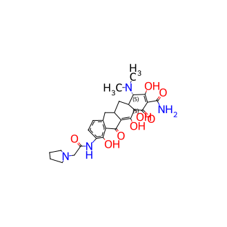 CN(C)[C@@H]1C(O)=C(C(N)=O)C(=O)[C@@]2(O)C(O)=C3C(=O)c4c(ccc(NC(=O)CN5CCCC5)c4O)CC3CC12